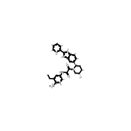 CCc1cc(NC(=O)C(=O)N2C[C@@H](C)CC[C@@H]2c2ccc3sc(-c4ccccn4)nc3c2)cnc1N